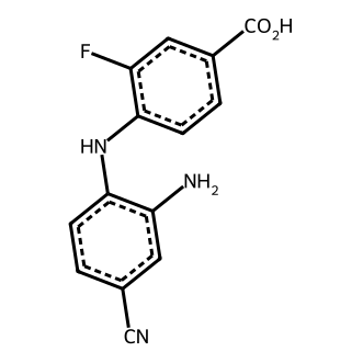 N#Cc1ccc(Nc2ccc(C(=O)O)cc2F)c(N)c1